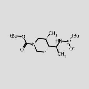 C[C@H](N[S@@+]([O-])C(C)(C)C)[C@@H]1CCN(C(=O)OC(C)(C)C)C[C@@H]1C